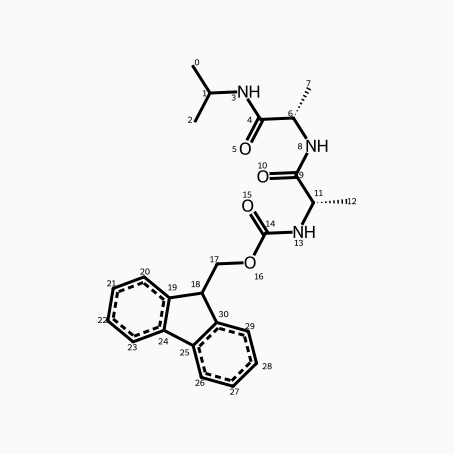 CC(C)NC(=O)[C@H](C)NC(=O)[C@H](C)NC(=O)OCC1c2ccccc2-c2ccccc21